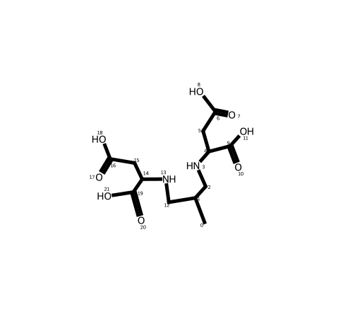 CC(CNC(CC(=O)O)C(=O)O)CNC(CC(=O)O)C(=O)O